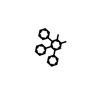 Cc1[c]c(-c2ccccc2)c(-c2ccccc2)c(-c2ccccc2)c1C